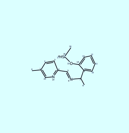 Cc1ccc(C=NC(C)c2ccccc2O[SiH](C)C)nc1